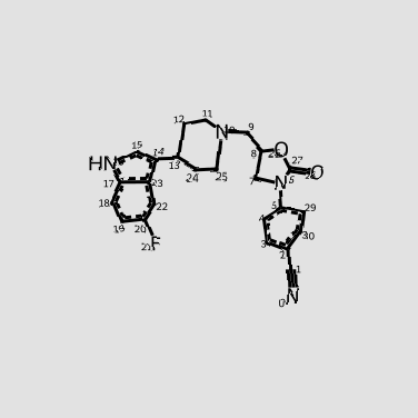 N#Cc1ccc(N2CC(CN3CCC(c4c[nH]c5ccc(F)cc45)CC3)OC2=O)cc1